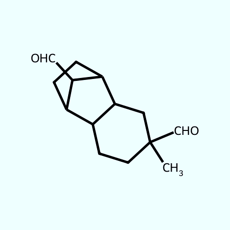 CC1(C=O)CCC2C3CCC(C3C=O)C2C1